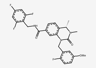 COc1ccc(F)c(CN2C(=O)N(C)[C@@H](C)c3ccc(C(=O)NCc4c(F)cc(F)cc4F)cc32)c1